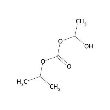 CC(C)OC(=O)OC(C)O